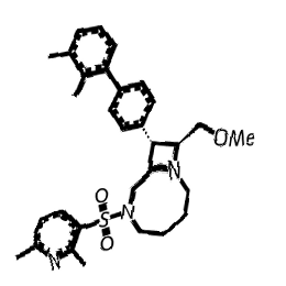 COC[C@@H]1[C@@H](c2ccc(-c3cccc(C)c3C)cc2)C2CN(S(=O)(=O)c3ccc(C)nc3C)CCCCN21